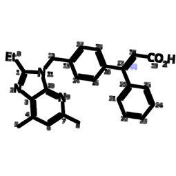 CCc1nc2c(C)cc(C)nc2n1Cc1ccc(/C(=C/C(=O)O)c2ccccc2)cc1